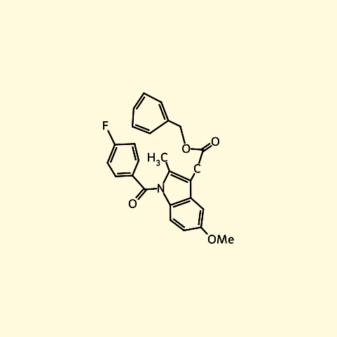 COc1ccc2c(c1)c(CC(=O)OCc1ccccc1)c(C)n2C(=O)c1ccc(F)cc1